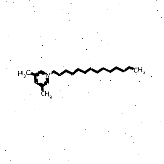 CCCCCCCCCCCCCC[n+]1cc(C)cc(C)c1